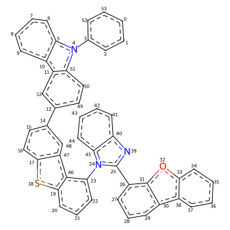 c1ccc(-n2c3ccccc3c3cc(-c4ccc5sc6cccc(-n7c(-c8cccc9c8oc8ccccc89)nc8ccccc87)c6c5c4)ccc32)cc1